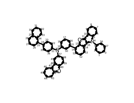 c1ccc(-n2c3ccccc3c3oc4c(-c5cccc(N(c6ccc(-c7cccc8ccccc78)cc6)c6ccc7oc8ccccc8c7c6)c5)cccc4c32)cc1